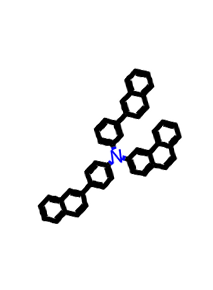 c1cc(-c2ccc3ccccc3c2)cc(N(c2ccc(-c3ccc4ccccc4c3)cc2)c2ccc3ccc4ccccc4c3c2)c1